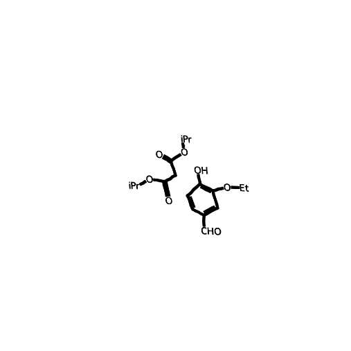 CC(C)OC(=O)CC(=O)OC(C)C.CCOc1cc(C=O)ccc1O